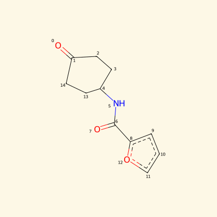 O=C1CCC(NC(=O)c2ccco2)CC1